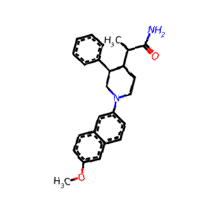 COc1ccc2cc(N3CCC(C(C)C(N)=O)C(c4ccccc4)C3)ccc2c1